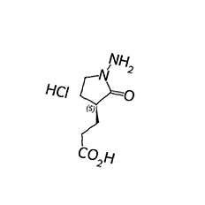 Cl.NN1CC[C@H](CCC(=O)O)C1=O